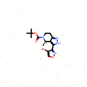 C[C@@H]1c2c(n[nH]c2-c2nocc2Br)CCN1C(=O)OC(C)(C)C